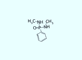 CNP(=O)(NC)c1ccccc1